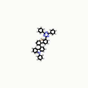 C1=CC2Sc3c(-c4nc(-c5ccccc5)nc(-c5ccccc5)n4)cccc3C2C(c2cccc3c2c2ccccc2n3-c2ccccc2)=C1